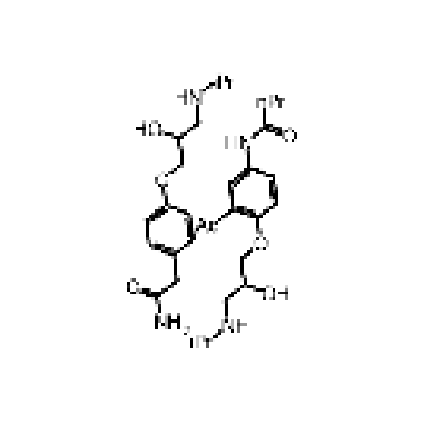 CC(C)NCC(O)COc1ccc(CC(N)=O)cc1.CCCC(=O)Nc1ccc(OCC(O)CNC(C)C)c(C(C)=O)c1